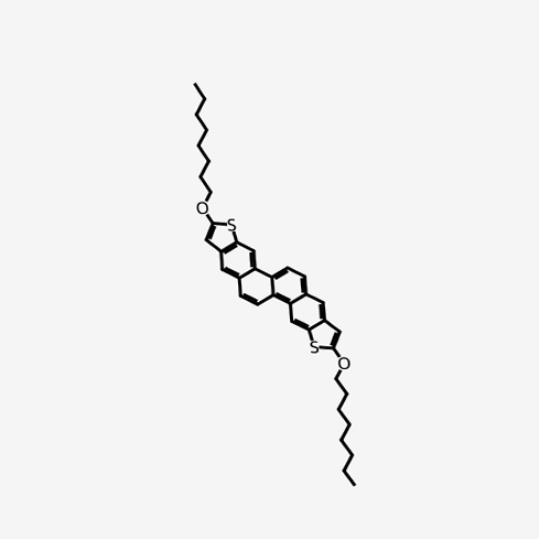 CCCCCCCCOc1cc2cc3ccc4c5cc6sc(OCCCCCCCC)cc6cc5ccc4c3cc2s1